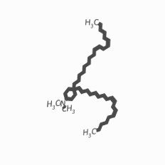 CCCCC/C=C\C/C=C\CCCCCCCCC1(CCCCCCCC/C=C\C/C=C\CCCCC)CCC(N(C)C)CC1